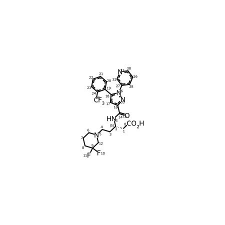 O=C(O)C[C@H](CCN1CCCC(F)(F)C1)NC(=O)c1cc(-c2ccccc2C(F)(F)F)n(-c2cccnc2)n1